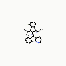 N#C/C=C1/C(=C2/c3ccccc3-c3ncccc32)C(=C(C#N)C#N)c2c(F)cccc21